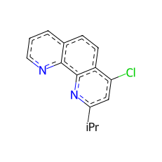 CC(C)c1cc(Cl)c2ccc3cccnc3c2n1